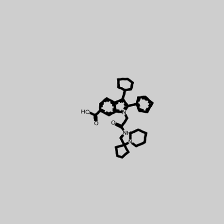 O=C(Cn1c(-c2ccccc2)c(C2CCCCC2)c2ccc(C(=O)O)cc21)NCC1(N2CCCCC2)CCCC1